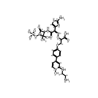 C[n+]1ccc(-c2ccc(OCC(O/N=C(\C(=O)N[C@@H]3C(=O)N(OS(=O)(=O)[O-])C3(C)C)c3csc(N)n3)C(=O)O)cc2)cc1NCCN